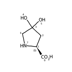 O=C(O)[C@@H]1CC(O)(O)CN1